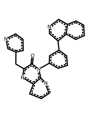 O=c1c(Cc2cccnc2)nc2cccnc2n1-c1cccc(-c2cncc3ccccc23)c1